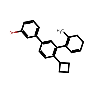 CC1=C(c2cc(-c3cccc(Br)c3)ccc2C2CCC2)C=CCC1